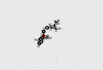 C[C@]12C=CC(=O)C=C1CC[C@@H]1[C@@H]2[C@@H](O)C[C@@]2(C)[C@H]1C[C@H]1O[C@@H](c3ccc(OC4CCC(NC(=O)[C@H](CCC(=O)O)NC(=O)CNC(=O)CBr)CC4)cc3)O[C@]12C(=O)COP(=O)(O)O